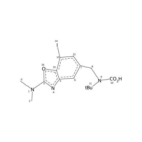 CN(C)c1nc2cc(CN(C(=O)O)C(C)(C)C)cc(I)c2o1